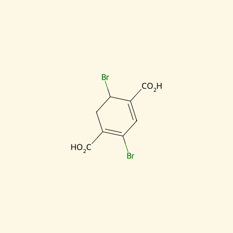 O=C(O)C1=CC(Br)=C(C(=O)O)CC1Br